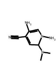 CN(C)C1C=C(C#N)C(N)=CN1N